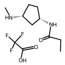 CCC(=O)N[C@H]1CC[C@@H](NC)C1.O=C(O)C(F)(F)F